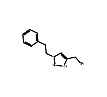 CC(C)CC1=CN(CCc2ccccc2)NN1